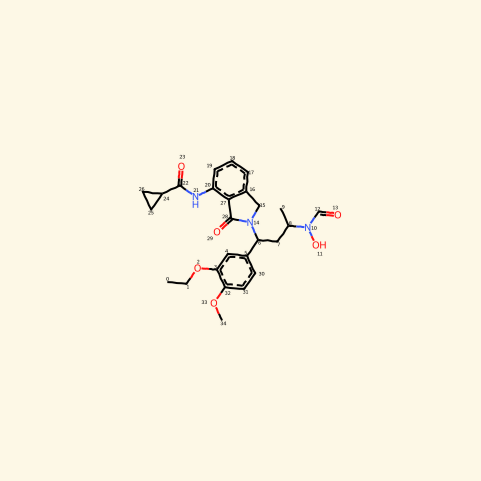 CCOc1cc(C(CC(C)N(O)C=O)N2Cc3cccc(NC(=O)C4CC4)c3C2=O)ccc1OC